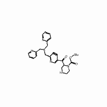 CC(C)(C)OC(=O)N1CCNCC1C(=O)c1ccc(CN(Cc2ccccn2)Cc2ccccn2)nc1